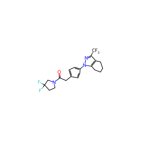 O=C(Cc1ccc(-n2nc(C(F)(F)F)c3c2CCCC3)cc1)N1CCC(F)(F)C1